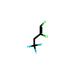 FC(F)(F)C/C(Cl)=C/Cl